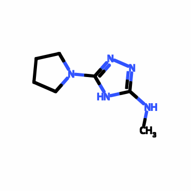 CNc1nnc(N2CCCC2)[nH]1